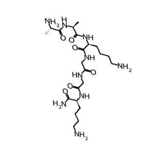 C[C@H](N)C(=O)N[C@@H](C)C(=O)N[C@@H](CCCCN)C(=O)NCC(=O)NCC(=O)N[C@@H](CCCCN)C(N)=O